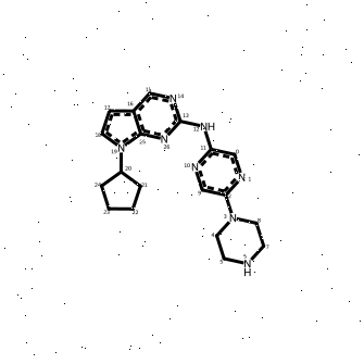 c1nc(N2CCNCC2)cnc1Nc1ncc2ccn(C3CCCC3)c2n1